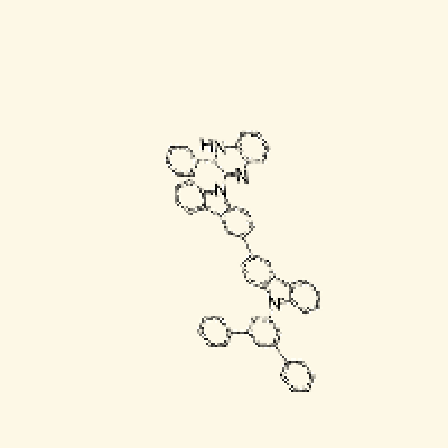 c1ccc(-c2cc(-c3ccccc3)cc(-n3c4ccccc4c4cc(-c5ccc6c(c5)c5ccccc5n6C5=Nc6ccccc6NC5c5ccccc5)ccc43)c2)cc1